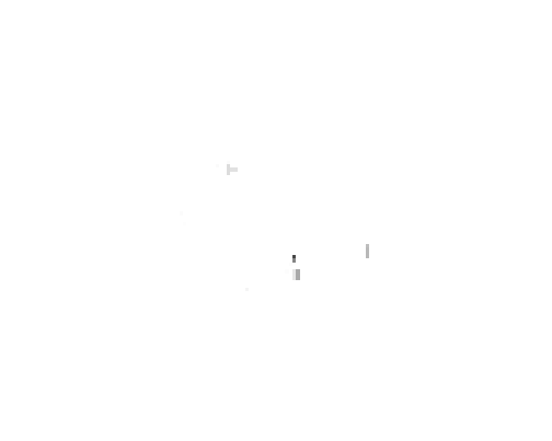 NC(=O)C(C1CC1)C(C1CC1)[C@H](N)C(=O)O